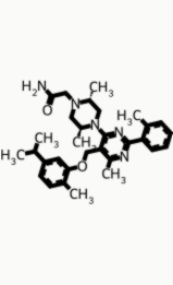 Cc1ccc(C(C)C)cc1OCc1c(C)nc(-c2ccccc2C)nc1N1C[C@@H](C)N(CC(N)=O)C[C@@H]1C